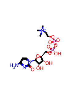 C[N+](C)(C)CCOP(=O)([O-])OP(=O)(O)OC[C@@H]1O[C@H](n2ccc(N)nc2=O)[C@@H](O)[C@H]1O